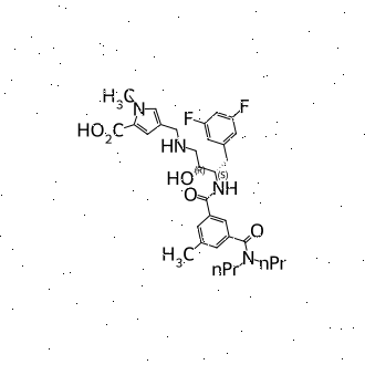 CCCN(CCC)C(=O)c1cc(C)cc(C(=O)N[C@@H](Cc2cc(F)cc(F)c2)[C@H](O)CNCc2cc(C(=O)O)n(C)c2)c1